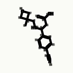 CC1(CNC(CC(=O)O)c2ccc(C#N)cc2)COC1